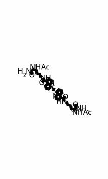 CC(=O)N[C@@H](CCCCNC(=O)c1ccnc2c(SSc3cccc4c(C(=O)NCCCC[C@@H](NC(C)=O)C(N)=O)ccnc34)cccc12)C(N)=O